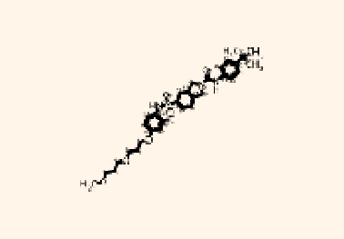 COCCCOCCCOc1ccc(NS(=O)(=O)c2ccc3c(c2)CN(C(=O)Nc2ccc(C(C)(C)C)cc2)C3)c(F)c1